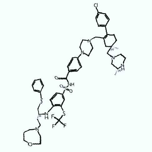 C[C@@H]1CN(C[C@]2(C)CCC(c3ccc(Cl)cc3)=C(CN3CCN(c4ccc(C(=O)NS(=O)(=O)c5ccc(N[C@H](CCN6CCCOCC6)CSc6ccccc6)c(SC(F)(F)F)c5)cc4)CC3)C2)CCN1